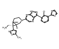 Cc1cc([C@@]2(CN)[C@@H]3CCN(c4cnc5c(-c6cccc(-c7ncco7)c6Cl)n[nH]c5n4)C[C@@H]32)no1